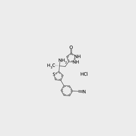 C[C@](N)(Cc1cc(=O)[nH][nH]1)c1cc(-c2cccc(C#N)c2)cs1.Cl